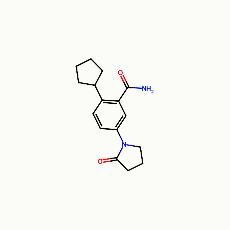 NC(=O)c1cc(N2CCCC2=O)ccc1C1CCCC1